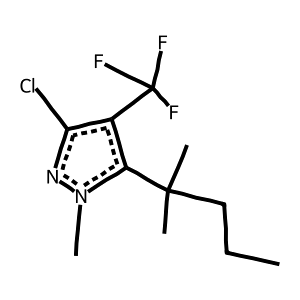 CCCC(C)(C)c1c(C(F)(F)F)c(Cl)nn1C